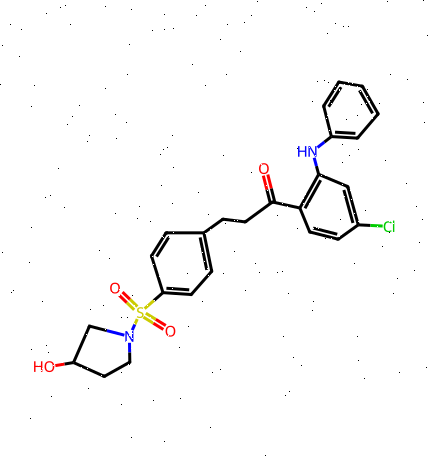 O=C(CCc1ccc(S(=O)(=O)N2CCC(O)C2)cc1)c1ccc(Cl)cc1Nc1ccccc1